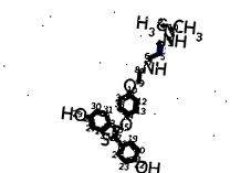 CN(C)N/C=C/CNCCOc1ccc(Oc2c(-c3ccc(O)cc3)sc3cc(O)ccc23)cc1